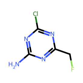 Nc1nc(Cl)nc(CF)n1